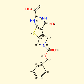 C=C(O)C1NC(=O)c2c(sc3c2CN(C(=O)OCc2ccccc2)C3)N1